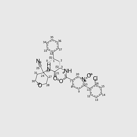 C[C@@H](C[C@H](NC(=O)c1ccc(-c2ccccc2Cl)[n+]([O-])c1)C(=O)NC1(C#N)CCOCC1)c1ccccc1